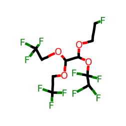 FCCOC(OC(F)(F)C(F)F)C(OCC(F)(F)F)OCC(F)(F)F